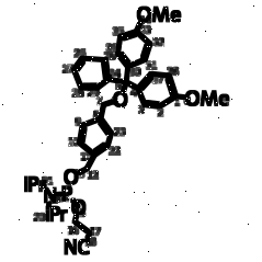 COc1ccc(C(OCc2ccc(COP(OCCC#N)N(C(C)C)C(C)C)cc2)(c2ccccc2)c2ccc(OC)cc2)cc1